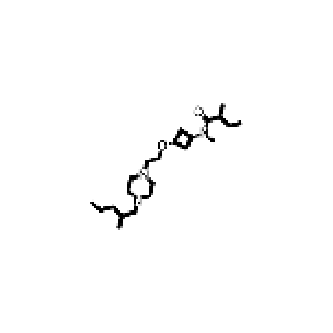 CCCC(C)CN1CCN(CCO[C@H]2C[C@H](N(C)C(=O)C(C)CC)C2)CC1